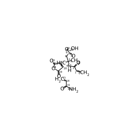 C=CC(=O)NC(C)(C)CS(=O)(=O)O.C=CC(N)=O.O=C1C=CC(=O)O1